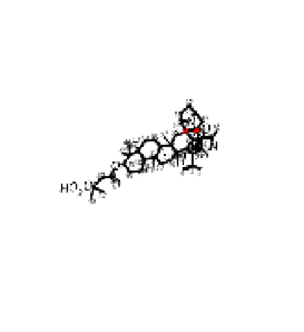 C=C(C)[C@@H]1CC[C@]2(C(=O)N3C4CCC3CC(n3c(C)nnc3C(C)C)C4)CC[C@]3(C)[C@H](CC[C@@H]4[C@@]5(C)CC[C@H](OC(=O)CC(C)(C)C(=O)O)C(C)(C)[C@@H]5CC[C@]43C)[C@@H]12